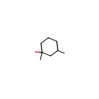 CC(C)C1(O)CCCC(C(F)(F)F)C1